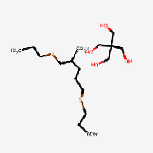 CCCCCCCCCCCCSCCCC(CSCCC(=O)O)C(=O)O.OCC(CO)(CO)CO